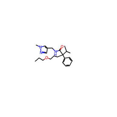 CCCOCCCC(C(=O)NCc1cnn(C)c1)(c1ccccc1)C(C)C